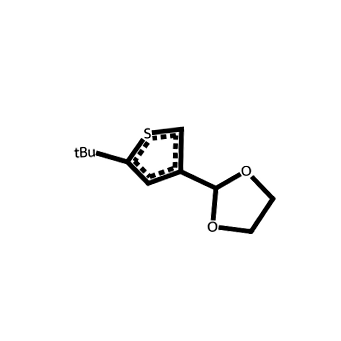 CC(C)(C)c1cc(C2OCCO2)cs1